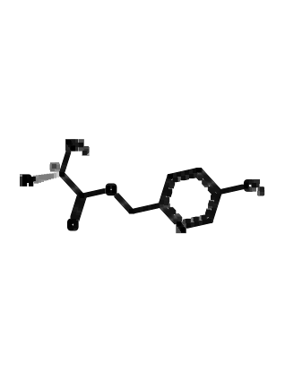 CC(C)[C@H](N)C(=O)OCc1ccc(C(F)(F)F)cn1